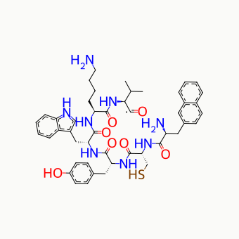 CC(C)[C@@H]([C]=O)NC(=O)[C@H](CCCCN)NC(=O)[C@@H](Cc1c[nH]c2ccccc12)NC(=O)[C@@H](Cc1ccc(O)cc1)NC(=O)[C@@H](CS)NC(=O)[C@@H](N)Cc1ccc2ccccc2c1